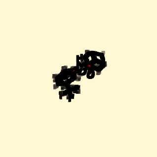 CCCOC1CC2CC(C1)C2C(=O)Nc1cccc(C(F)(F)F)c1